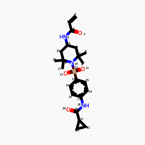 C=CC(=O)NC1CC(C)(C)N(S(=O)(=O)c2ccc(NC(=O)C3CC3)cc2)C(C)(C)C1